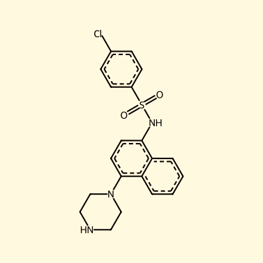 O=S(=O)(Nc1ccc(N2CCNCC2)c2ccccc12)c1ccc(Cl)cc1